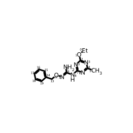 CCOc1nc(C)nc(N/C(N)=N/OCc2ccccc2)n1